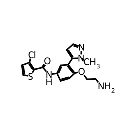 Cn1nccc1-c1cc(NC(=O)c2sccc2Cl)ccc1OCCN